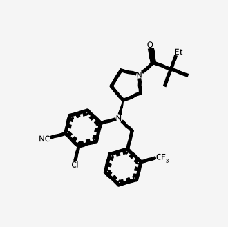 CCC(C)(C)C(=O)N1CC[C@H](N(Cc2ccccc2C(F)(F)F)c2ccc(C#N)c(Cl)c2)C1